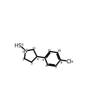 SN1CCC(c2ccc(Cl)cc2)C1